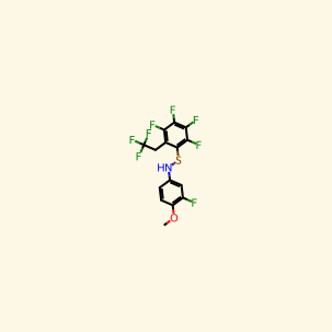 COc1ccc(NSc2c(F)c(F)c(F)c(F)c2CC(F)(F)F)cc1F